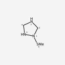 [CH2]SN1CNCN1